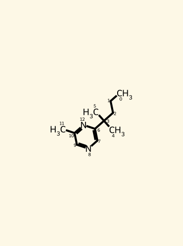 CCCC(C)(C)c1cncc(C)n1